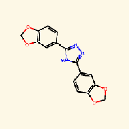 c1cc2c(cc1-c1nnc(-c3ccc4c(c3)OCO4)[nH]1)OCO2